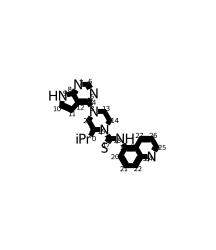 CC(C)C1CN(c2ncnc3[nH]ccc23)CCN1C(=S)Nc1cccc2ncccc12